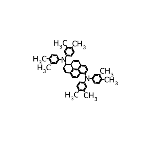 Cc1ccc(N(c2ccc(C)c(C)c2)c2ccc3c4c5c(ccc24)C=CC(N(c2ccc(C)c(C)c2)c2ccc(C)c(C)c2)C5C=C3)cc1C